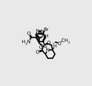 COC[C@H]1CN(Cc2cnn[nH]2)C(=O)C2CCC[C@@H]1N2S(=O)(=O)c1cc(Br)cc(C(N)=O)c1